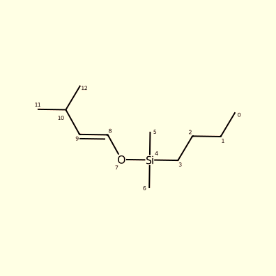 CCCC[Si](C)(C)OC=CC(C)C